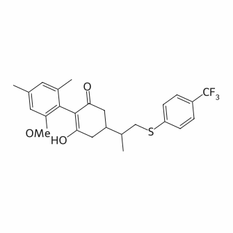 COc1cc(C)cc(C)c1C1=C(O)CC(C(C)CSc2ccc(C(F)(F)F)cc2)CC1=O